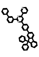 c1ccc(-c2cccc(-c3nc(-c4ccc(-c5ccc6c(c5)C(c5ccccc5)(c5ccccc5)c5ccccc5-6)cc4)cc(-c4cccnc4)n3)c2)cc1